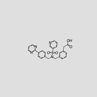 O=C(O)Cc1cccc(CN(Cc2ccc(-c3ncccn3)cc2)S(=O)(=O)c2cccnc2)c1